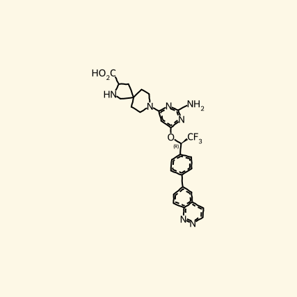 Nc1nc(O[C@H](c2ccc(-c3ccc4nnccc4c3)cc2)C(F)(F)F)cc(N2CCC3(CC2)CNC(C(=O)O)C3)n1